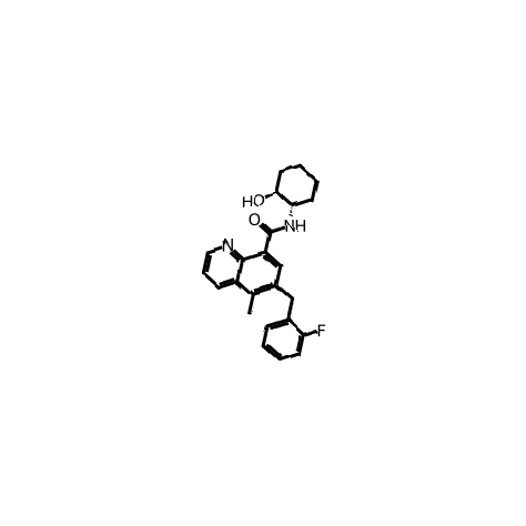 Cc1c(Cc2ccccc2F)cc(C(=O)N[C@H]2CCCC[C@@H]2O)c2ncccc12